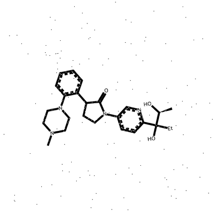 CCC(O)(c1ccc(N2CCC(c3ccccc3N3CCN(C)CC3)C2=O)cn1)[C@H](C)O